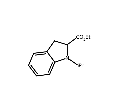 CCOC(=O)C1Cc2ccccc2N1C(C)C